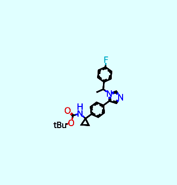 CC(c1ccc(F)cc1)n1cncc1-c1ccc(C2(NC(=O)OC(C)(C)C)CC2)cc1